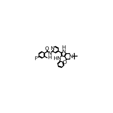 Cc1cc(F)ccc1C(=O)Nc1cc(-c2[nH]c3c(c2Nc2ccccc2)C(=O)CN(C(C)(C)C)C3)ccn1